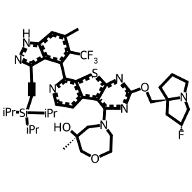 Cc1cc2[nH]nc(C#C[Si](C(C)C)(C(C)C)C(C)C)c2c(-c2nccc3c2sc2nc(OC[C@@]45CCCN4C[C@H](F)C5)nc(N4CCOC[C@@](C)(O)C4)c23)c1C(F)(F)F